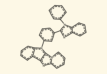 c1ccc(-n2c(-c3cccc(-n4c5ccccc5c5nc6ccccn6c54)c3)nc3ccccc32)cc1